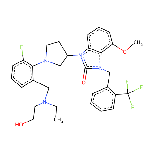 CCN(CCO)Cc1cccc(F)c1N1CCC(n2c(=O)n(Cc3ccccc3C(F)(F)F)c3c(OC)cccc32)C1